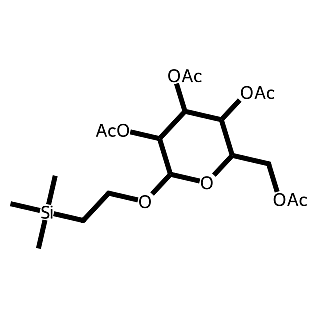 CC(=O)OCC1OC(OCC[Si](C)(C)C)C(OC(C)=O)C(OC(C)=O)C1OC(C)=O